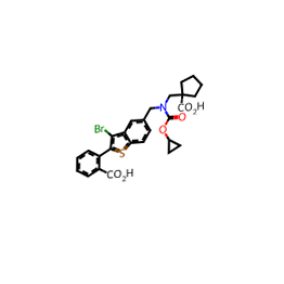 O=C(O)c1ccccc1-c1sc2ccc(CN(CC3(C(=O)O)CCCC3)C(=O)OC3CC3)cc2c1Br